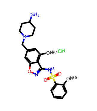 COc1ccccc1S(=O)(=O)Nc1noc2cc(CN3CCC(N)CC3)cc(OC)c12.Cl